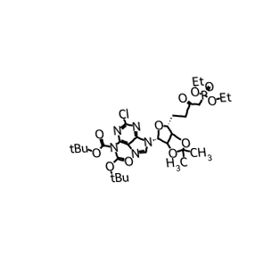 CCOP(=O)(CC(=O)CC[C@H]1O[C@@H](n2cnc3c(N(C(=O)OC(C)(C)C)C(=O)OC(C)(C)C)nc(Cl)nc32)C2OC(C)(C)OC21)OCC